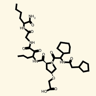 CCCCC(NC(=O)CNC(=O)C(=O)C(CCC)NC(=O)[C@@H]1C[C@@H](OCC(=O)O)CN1C(=O)C(NC(=O)CC1CCCC1)C1CCCCC1)C(N)=O